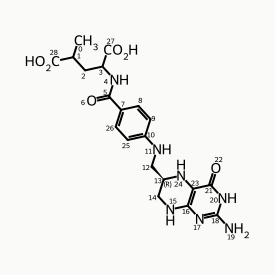 CC(CC(NC(=O)c1ccc(NC[C@@H]2CNc3nc(N)[nH]c(=O)c3N2)cc1)C(=O)O)C(=O)O